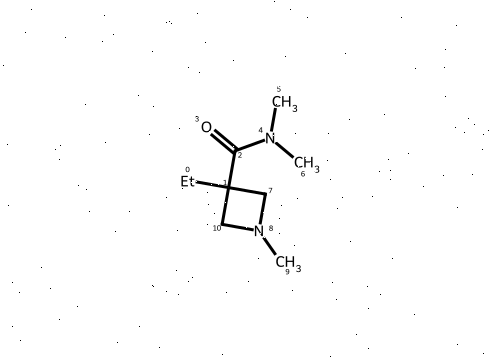 CCC1(C(=O)N(C)C)CN(C)C1